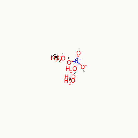 O.O.O.O.O.O=[N+]([O-])[O-].[Sc]